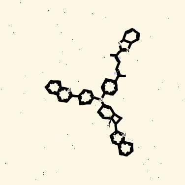 C/C(=C\C=C(/C)c1ccc(N(C2=CC3CC(c4ccc5ccccc5n4)[C@@H]3C=C2)c2ccc(-c3ccc4ccccc4n3)cc2)cc1)C1=NC2C=CC=CC2S1